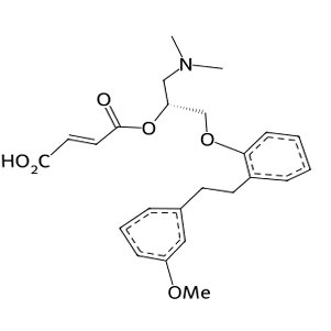 COc1cccc(CCc2ccccc2OC[C@@H](CN(C)C)OC(=O)/C=C/C(=O)O)c1